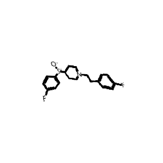 [O-][S+](c1ccc(F)cc1)C1CCN(CCc2ccc(F)cc2)CC1